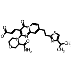 CC(C)c1csc(CCc2ccn3c(=O)c(/C=C/C(=O)O)c(N4CCOCC4C(N)=O)nc3c2)n1